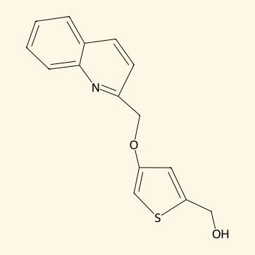 OCc1cc(OCc2ccc3ccccc3n2)cs1